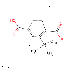 C[Si](C)(C)c1cc(C(=O)O)ccc1C(=O)O